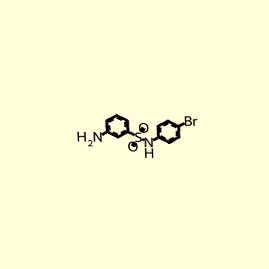 Nc1cccc(S(=O)(=O)Nc2ccc(Br)cc2)c1